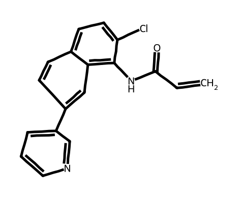 C=CC(=O)Nc1c(Cl)ccc2ccc(-c3cccnc3)cc12